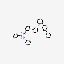 c1ccc(-c2ccc3c4ccccc4n(-c4ccc5oc6c(-c7nc(-c8ccccc8)nc(-c8ccccc8)n7)cccc6c5c4)c3c2)cc1